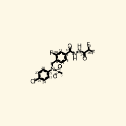 CS(=O)(=O)N(Cc1ccc(C(=O)NNC(=O)C(F)F)cc1F)c1ccc(Cl)cc1